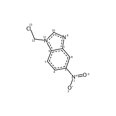 O=[N+]([O-])c1ccc2c(c1)ncn2CCl